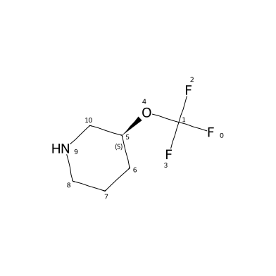 FC(F)(F)O[C@H]1CCCNC1